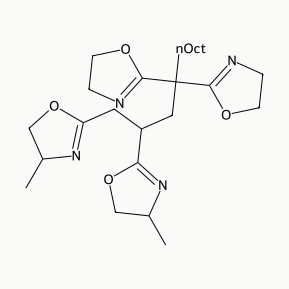 CCCCCCCCC(CC(CC1=NC(C)CO1)C1=NC(C)CO1)(C1=NCCO1)C1=NCCO1